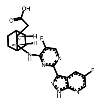 O=C(O)C[C@H]1C2CCC(CC2)[C@H]1Nc1nc(-c2n[nH]c3ncc(F)cc23)ncc1F